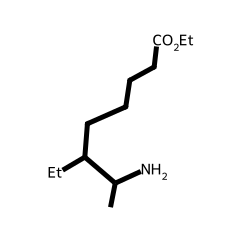 CCOC(=O)CCCCC(CC)C(C)N